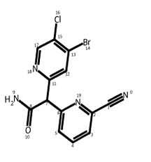 N#Cc1cccc(C(C(N)=O)c2cc(Br)c(Cl)cn2)n1